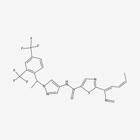 C=N/C(=C\C=C/C)c1ncc(C(=O)Nc2cnn(C(C)c3ccc(C(F)(F)F)cc3C(F)(F)F)c2)s1